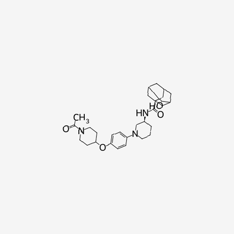 CC(=O)N1CCC(Oc2ccc(N3CCC[C@H](NC(=O)C45CC6CC(C4)C(O)C(C6)C5)C3)cc2)CC1